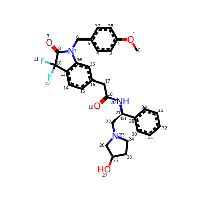 COc1ccc(CN2C(=O)C(F)(F)c3ccc(CC(=O)N[C@H](CN4CCC(O)C4)c4ccccc4)cc32)cc1